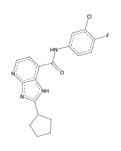 O=C(Nc1ccc(F)c(Cl)c1)c1ccnc2nc(C3CCCC3)[nH]c12